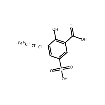 O=C(O)c1cc(S(=O)(=O)O)ccc1O.[Cl-].[Cl-].[Cl-].[Fe+3]